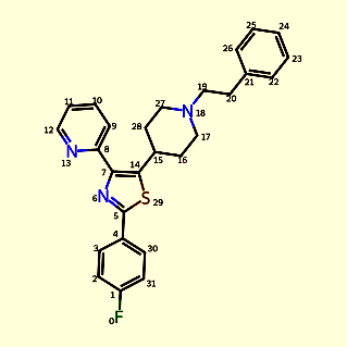 Fc1ccc(-c2nc(-c3ccccn3)c(C3CCN(CCc4ccccc4)CC3)s2)cc1